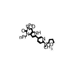 CCCn1c(=O)c2[nH]c(-c3ccc(N(C)C4CCCO4)nc3)cc2n(CCC)c1=O